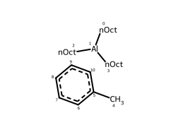 CCCCCCC[CH2][Al]([CH2]CCCCCCC)[CH2]CCCCCCC.Cc1ccccc1